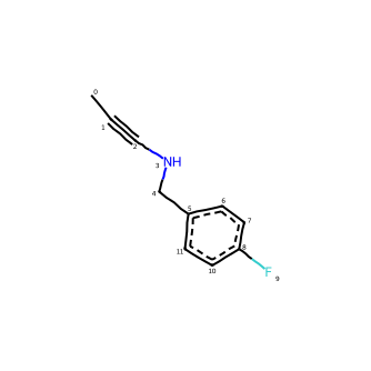 CC#CNCc1ccc(F)cc1